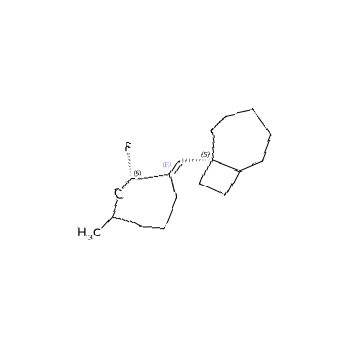 CC1CCC/C(=C\[C@]23CCCCCC2CC3)[C@@H](F)C1